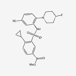 COC(=O)c1ccc(C2CC2)c(S(=O)(=O)Nc2cc(C#N)ccc2N2CCC(F)CC2)c1